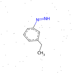 CCc1cccc(N=N)c1